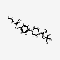 CCOC(=S)Sc1ccc(N2CCN(C(=O)OC(C)(C)C)CC2)cc1